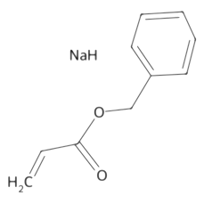 C=CC(=O)OCc1ccccc1.[NaH]